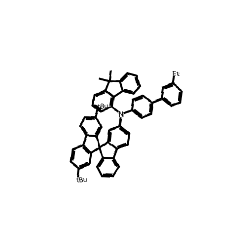 CCc1cccc(-c2ccc(N(c3ccc4c(c3)C3(c5ccccc5-4)c4cc(C(C)(C)C)ccc4-c4ccc(C(C)(C)C)cc43)c3cccc4c3-c3ccccc3C4(C)C)cc2)c1